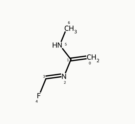 C=C(/N=C/F)NC